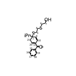 CC(C)C1(SCCSCCO)C=CC(C(=O)c2ccccc2)=CC1